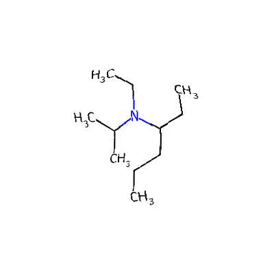 CCCC(CC)N(CC)C(C)C